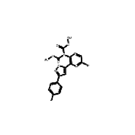 Cc1ccc(-c2cc(-c3nc(Br)cnc3N(C(=O)OC(C)(C)C)C(=O)OC(C)(C)C)on2)cc1